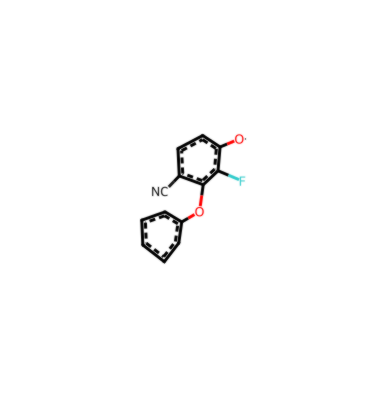 N#Cc1ccc([O])c(F)c1Oc1ccccc1